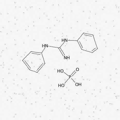 N=C(Nc1ccccc1)Nc1ccccc1.O=P(O)(O)O